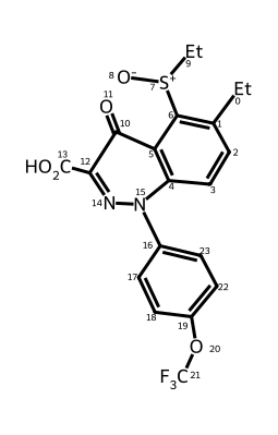 CCc1ccc2c(c1[S+]([O-])CC)c(=O)c(C(=O)O)nn2-c1ccc(OC(F)(F)F)cc1